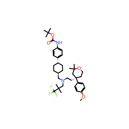 COc1ccc([C@]2(CCN(CC(C)(C)C(F)(F)F)C[C@H]3CC[C@H](c4ccc(NC(=O)OC(C)(C)C)cc4)CC3)CCOC(C)(C)C2)cc1